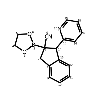 N#CC1(B2OCCO2)Cc2ccccc2C1c1ccccn1